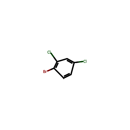 Clc1c[c]c(Br)c(Cl)c1